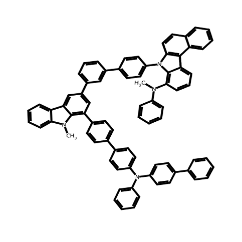 CN(c1ccccc1)c1cccc2c3c4ccccc4ccc3n(-c3ccc(-c4cccc(-c5cc(-c6ccc(-c7ccc(N(c8ccccc8)c8ccc(-c9ccccc9)cc8)cc7)cc6)c6c(c5)c5ccccc5n6C)c4)cc3)c12